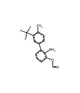 Cc1ccc(-c2cccc(OC=O)c2N)cc1C(F)(F)F